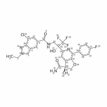 CCn1cc2cc(C(=O)NC[C@](O)(c3cc4c(c(-c5ccc(F)cc5)n3)OC[C@]4(C)C(N)=O)C(F)(F)F)cc(Cl)c2n1